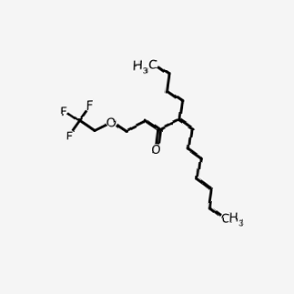 CCCCCCCC(CCCC)C(=O)CCOCC(F)(F)F